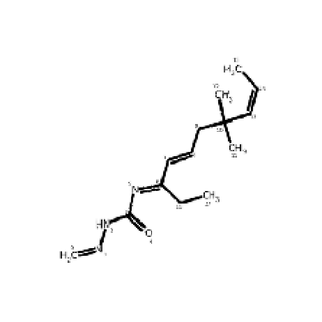 C=NNC(=O)/N=C(/C=C/CC(C)(C)/C=C\C)CC